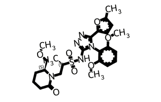 COC[C@@H]1CCCC(=O)N1C[C@H](C)S(=O)(=O)Nc1nnc(-c2ccc(C)o2)n1-c1c(OC)cccc1OC